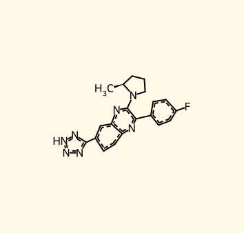 C[C@H]1CCCN1c1nc2cc(-c3nn[nH]n3)ccc2nc1-c1ccc(F)cc1